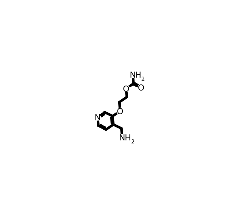 NCc1ccncc1OCCOC(N)=O